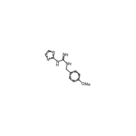 COc1ccc(CNC(=N)Nc2nccs2)cc1